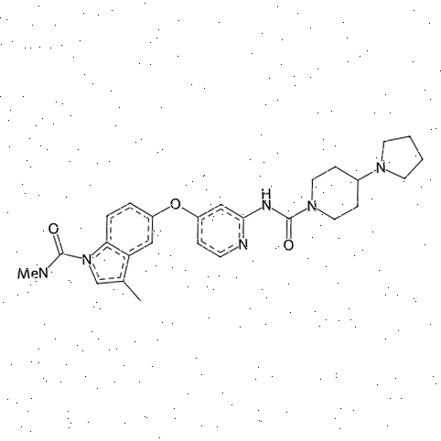 CNC(=O)n1cc(C)c2cc(Oc3ccnc(NC(=O)N4CCC(N5CCCC5)CC4)c3)ccc21